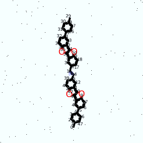 Cc1ccc(-c2ccc3oc4c5cc(/C=C/c6ccc7oc8c9cc(-c%10ccc(C)cc%10)ccc9oc8c7c6)ccc5oc4c3c2)cc1